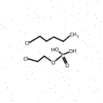 CCCCCCl.O=P(O)(O)OCCCl